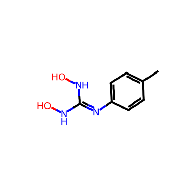 Cc1ccc(N=C(NO)NO)cc1